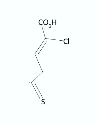 O=C(O)C(Cl)=CC[C]=S